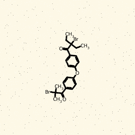 CCC(Br)(CC)C(=O)c1ccc(Oc2ccc(C(=O)C(C)(C)Br)cc2)cc1